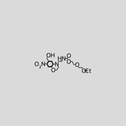 CCOCCOCCOC(=O)NCCN1CCOc2cc([N+](=O)[O-])c(CO)cc21